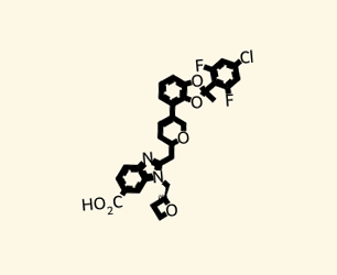 CC1(c2c(F)cc(Cl)cc2F)Oc2cccc(C3=CCC(Cc4nc5ccc(C(=O)O)cc5n4C[C@@H]4CCO4)OC3)c2O1